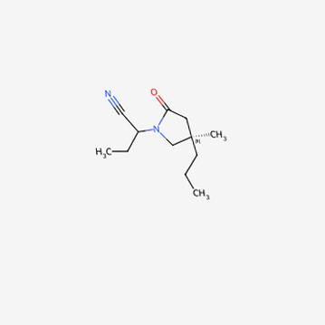 CCC[C@]1(C)CC(=O)N(C(C#N)CC)C1